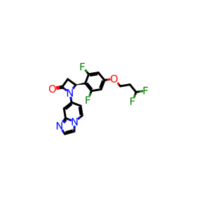 O=C1C[C@@H](c2c(F)cc(OCCC(F)F)cc2F)N1c1ccn2ccnc2c1